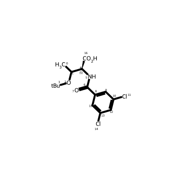 CC(OC(C)(C)C)[C@H](NC(=O)c1cc(Cl)cc(Cl)c1)C(=O)O